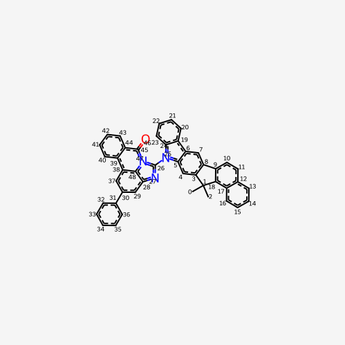 CC1(C)c2cc3c(cc2-c2ccc4ccccc4c21)c1ccccc1n3-c1nc2cc(-c3ccccc3)cc3c4ccccc4c(=O)n1c23